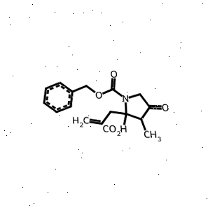 C=CCC1(C(=O)O)C(C)C(=O)CN1C(=O)OCc1ccccc1